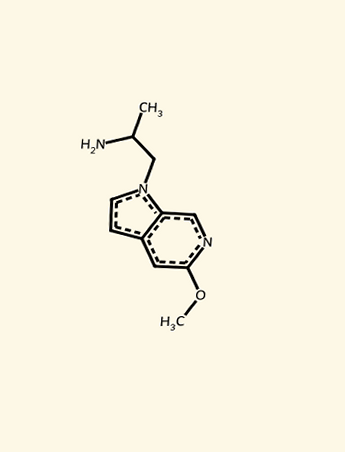 COc1cc2ccn(CC(C)N)c2cn1